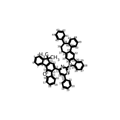 CC1(C)c2ccccc2-c2c1cc(-c1cc(-c3ccccc3)nc(-n3c4ccccc4c4cc5c(cc43)CCC(c3ccccc3)c3ccccc3-5)n1)c1c2oc2ccccc21